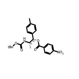 Cc1ccc([C@H](OC(=O)c2ccc([N+](=O)[O-])cc2)[C@H](C)NC(=O)OC(C)(C)C)cc1